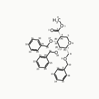 COC(=O)[C@@H]1CO[C@H](COCc2ccccc2)[C@H](OCc2ccccc2)[C@@H]1OCc1ccccc1